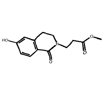 COC(=O)CCN1CCc2cc(O)ccc2C1=O